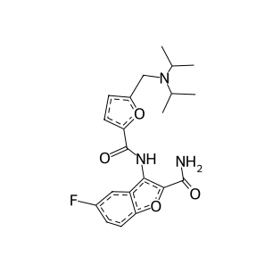 CC(C)N(Cc1ccc(C(=O)Nc2c(C(N)=O)oc3ccc(F)cc23)o1)C(C)C